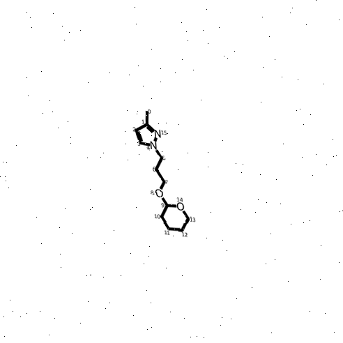 Cc1ccn(CCCOC2CCCCO2)n1